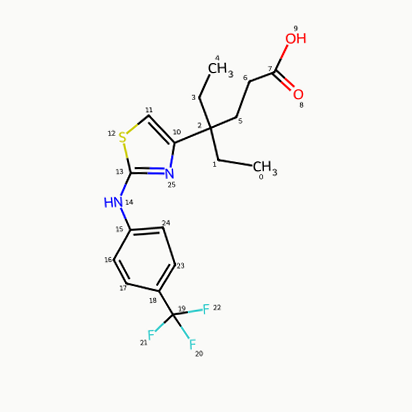 CCC(CC)(CCC(=O)O)c1csc(Nc2ccc(C(F)(F)F)cc2)n1